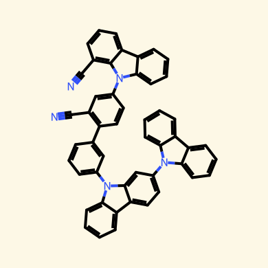 N#Cc1cc(-n2c3ccccc3c3cccc(C#N)c32)ccc1-c1cccc(-n2c3ccccc3c3ccc(-n4c5ccccc5c5ccccc54)cc32)c1